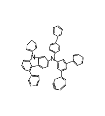 C1#CCC(c2cc(-c3ccccc3)cc(N(c3ccc(-c4ccccc4)cc3)c3ccc4c5c(-c6ccccc6)cccc5n(C5=CCCC=C5)c4c3)c2)=CC=C1